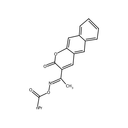 CCCC(=O)O/N=C(\C)c1cc2cc3ccccc3cc2oc1=O